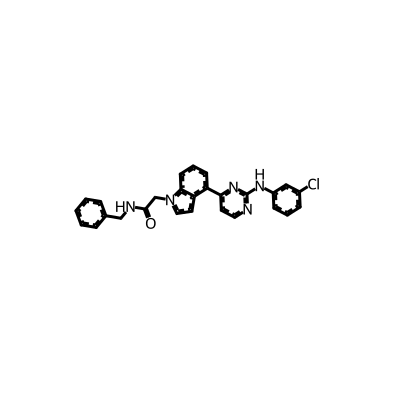 O=C(Cn1ccc2c(-c3ccnc(Nc4cccc(Cl)c4)n3)cccc21)NCc1ccccc1